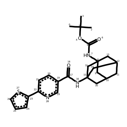 CC(C)(C)OC(=O)NC12CC3CC(C1)CC(NC(=O)c1ccc(-c4cccs4)nc1)(C3)C2